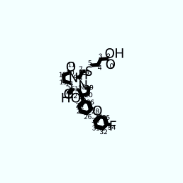 O=C(O)CCCSCCN1C(=O)CC[C@H]1C(=O)[C@@H]1NCC[C@@]1(O)c1cccc(Oc2cccc(F)c2)c1